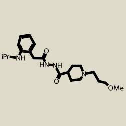 COCCCN1CCC(C(=O)NNC(=O)Cc2ccccc2NC(C)C)CC1